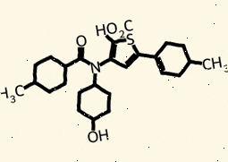 CC1CC=C(c2cc(N(C(=O)C3CCC(C)CC3)C3CCC(O)CC3)c(C(=O)O)s2)CC1